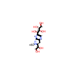 CCCCN[C@@H](Cc1cnc([C@@H](O)[C@H](O)[C@H](O)CO)cn1)[C@H](O)CO